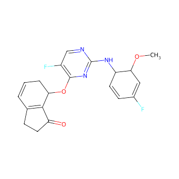 COC1C=C(F)C=CC1Nc1ncc(F)c(OC2CC=CC3=C2C(=O)CC3)n1